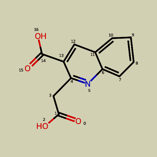 O=C(O)Cc1nc2ccccc2cc1C(=O)O